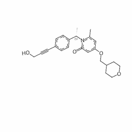 Cc1cc(OCC2CCOCC2)cc(=O)n1[C@@H](C)c1ccc(C#CCO)cc1